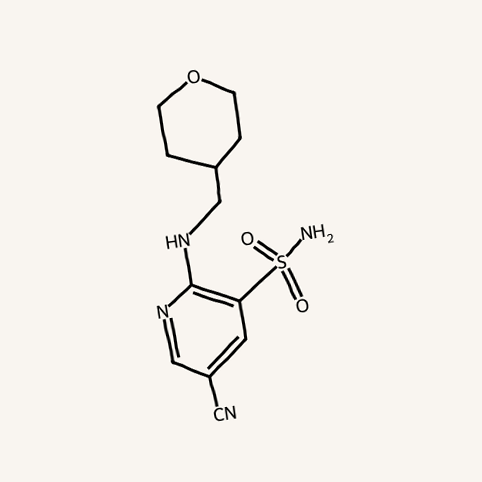 N#Cc1cnc(NCC2CCOCC2)c(S(N)(=O)=O)c1